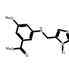 CCn1cncc1CNc1cc(OC)cc(C(=O)OC)c1